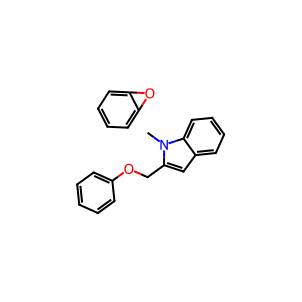 Cn1c(COc2ccccc2)cc2ccccc21.c1ccc2c(c1)O2